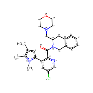 Cc1c(C(=O)O)cc(-c2cc(Cl)cnc2C(=O)N2Cc3ccccc3CC2CN2CCOCC2)n1C